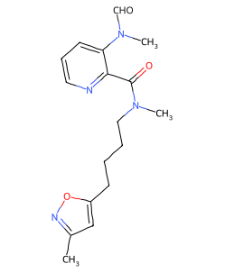 Cc1cc(CCCCN(C)C(=O)c2ncccc2N(C)C=O)on1